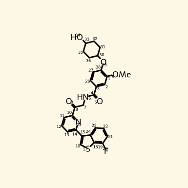 COc1cc(C(=O)NCC(=O)c2cccc(-c3csc4c(F)cccc34)n2)ccc1OC1CCC(O)CC1